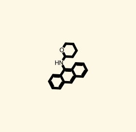 c1ccc2c(NC3CCCCO3)c3ccccc3cc2c1